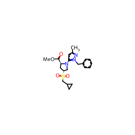 COC(=O)[C@@H]1C[C@@H](S(=O)(=O)CC2CC2)CN1c1cc(C)nn1Cc1ccccc1